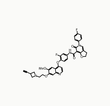 C#CC1CN(CCOc2cc3nccc(Oc4ccc(NC(=O)c5c6c(cn(-c7ccc(F)cc7)c5=O)CCO6)cc4F)c3cc2OC)C1